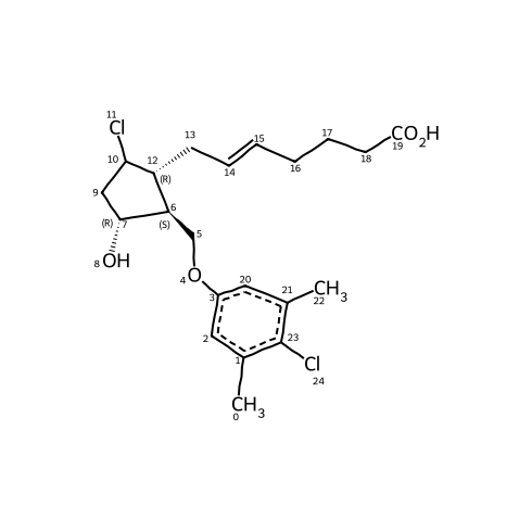 Cc1cc(OC[C@H]2[C@H](O)CC(Cl)[C@@H]2CC=CCCCC(=O)O)cc(C)c1Cl